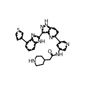 O=C(CC1CCNCC1)Nc1cncc(-c2ccc3[nH]nc(-c4nc5c(-c6ccsc6)cccc5[nH]4)c3n2)c1